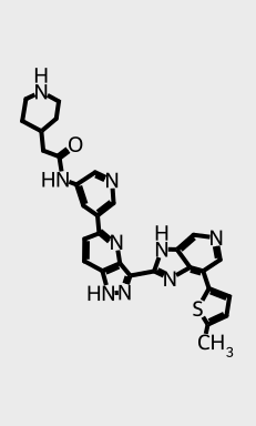 Cc1ccc(-c2cncc3[nH]c(-c4n[nH]c5ccc(-c6cncc(NC(=O)CC7CCNCC7)c6)nc45)nc23)s1